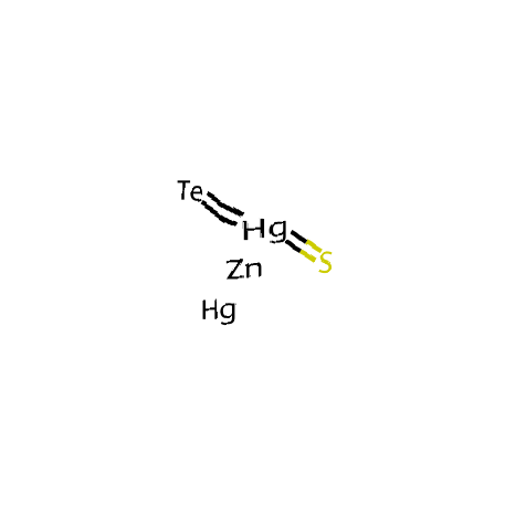 [Hg].[S]=[Hg]=[Te].[Zn]